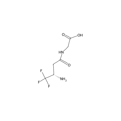 N[C@@H](CC(=O)NCC(=O)O)C(F)(F)F